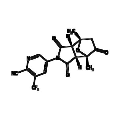 C[C@@]12CC(=O)[C@@](C)(O1)[C@@H]1C(=O)N(c3cnc(C#N)c(C(F)(F)F)c3)C(=O)[C@@H]12